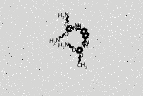 CCCCOc1cc(OCCCN)cc(-n2cc(-c3ccc4ccc(-c5cn(-c6cc(OCCCN)cc(OCCCN)c6)nn5)cc4c3)nn2)c1